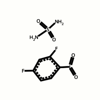 NS(N)(=O)=O.O=I(=O)c1ccc(F)cc1F